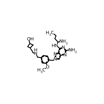 CCCC(N)Nc1nc(N)nc2cn(Cc3ccc(CNCC4CC(O)C4)cc3OC)nc12